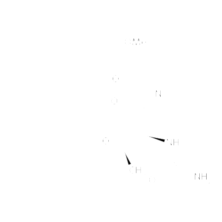 COC(=O)[C@@H]1CCCCN1C(=O)[C@@H](NC(N)=O)[C@@H](C)OCC1CCCCC1